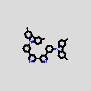 Cc1ccc2c(c1)c1cc(C)ccc1n2-c1cccc(-c2cncc(-c3cncc(-c4cccc(-n5c6ccc(C)cc6c6cc(C)ccc65)c4)c3)c2)c1